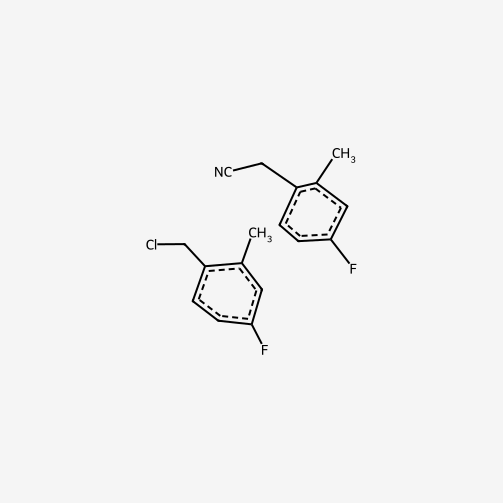 Cc1cc(F)ccc1CC#N.Cc1cc(F)ccc1CCl